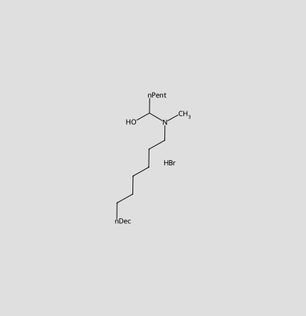 Br.CCCCCCCCCCCCCCCCN(C)C(O)CCCCC